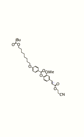 CCC(C)C(=O)OCCCCCCCCOc1ccc(C(=O)Oc2ccc(/C=C/C(=O)OCCC#N)cc2OC)cc1